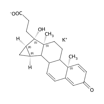 C[C@]12C=CC(=O)C=C1C=CC1C2CC[C@@]2(C)C1[C@H]1C[C@H]1[C@@]2(O)CCC(=O)[O-].[K+]